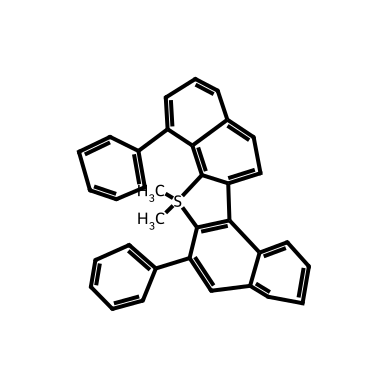 CS1(C)c2c(-c3ccccc3)cc3ccccc3c2-c2ccc3cccc(-c4ccccc4)c3c21